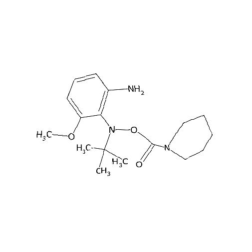 COc1cccc(N)c1N(OC(=O)N1CCCCC1)C(C)(C)C